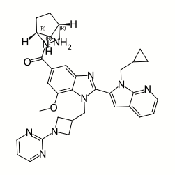 COc1cc(C(=O)N2C[C@H]3CC[C@@H]2[C@@H]3N)cc2nc(-c3cc4cccnc4n3CC3CC3)n(CC3CN(c4ncccn4)C3)c12